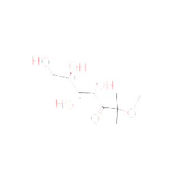 COC(C)(C)C(=O)[C@@H](O)[C@H](O)[C@H](O)CO